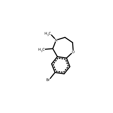 CC1c2cc(Br)ccc2OCCN1C